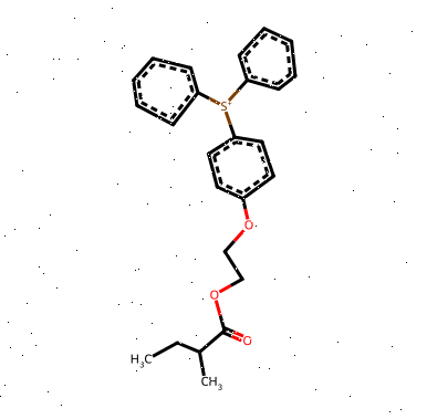 CCC(C)C(=O)OCCOc1ccc([S+](c2ccccc2)c2ccccc2)cc1